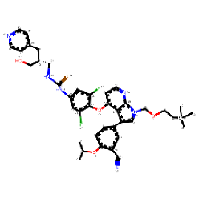 CC(C)Oc1ccc(-c2cn(COCC[Si](C)(C)C)c3nccc(Oc4c(F)cc(NC(=S)NC[C@H](CO)Cc5ccncc5)cc4F)c23)cc1C#N